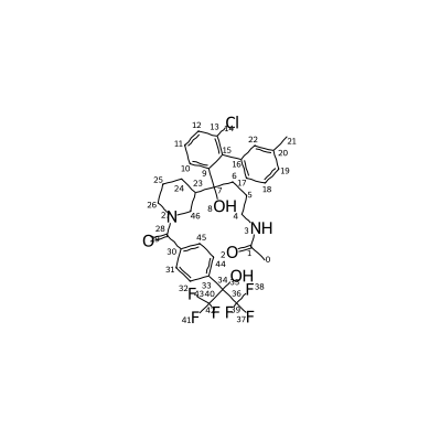 CC(=O)NCCCC(O)(c1cccc(Cl)c1-c1cccc(C)c1)C1CCCN(C(=O)c2ccc(C(O)(C(F)(F)F)C(F)(F)F)cc2)C1